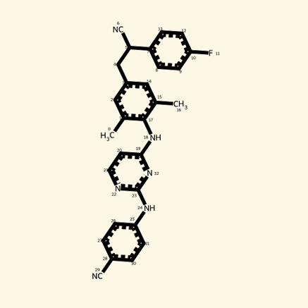 Cc1cc(CC(C#N)c2ccc(F)cc2)cc(C)c1Nc1ccnc(Nc2ccc(C#N)cc2)n1